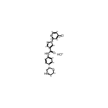 Cl.O=C(Nc1ccc([C@H]2CNCCO2)cc1)c1cnn(-c2cc(Cl)ccn2)c1